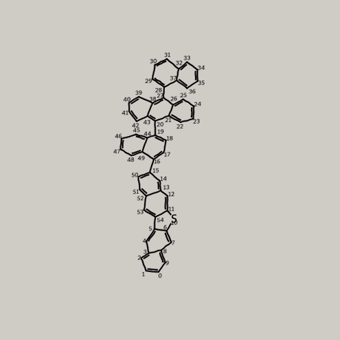 c1ccc2cc3c(cc2c1)sc1cc2cc(-c4ccc(-c5c6ccccc6c(-c6cccc7ccccc67)c6ccccc56)c5ccccc45)ccc2cc13